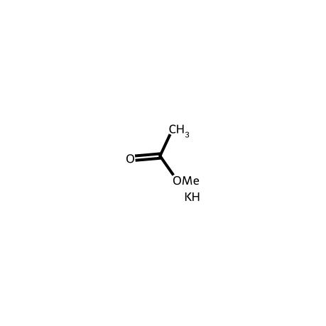 COC(C)=O.[KH]